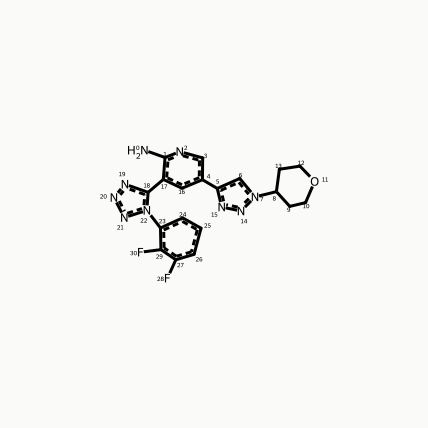 Nc1ncc(-c2cn(C3CCOCC3)nn2)cc1-c1nnnn1-c1cccc(F)c1F